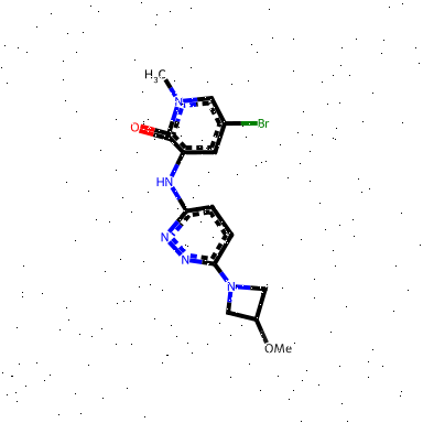 COC1CN(c2ccc(Nc3cc(Br)cn(C)c3=O)nn2)C1